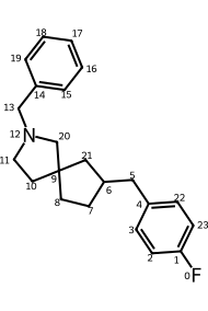 Fc1ccc(CC2CCC3(CCN(Cc4ccccc4)C3)C2)cc1